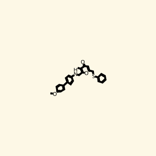 COc1ccc(-c2ccc(NCc3oc(CSc4ccccc4)cc(=O)c3C)cc2)cc1